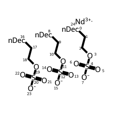 CCCCCCCCCCCCOS(=O)(=O)[O-].CCCCCCCCCCCCOS(=O)(=O)[O-].CCCCCCCCCCCCOS(=O)(=O)[O-].[Nd+3]